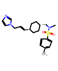 CN(C[C@H]1CC[C@H](/C=C/Cn2ccnc2)CC1)S(=O)(=O)c1ccc(C(F)(F)F)cc1